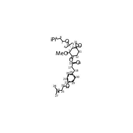 CO[C@H]1[C@H](C(C)(C)OCCC(C)C)C2(CC[C@H]1OC(=O)CCc1ccc(OCCN(C)C)cc1)CO2